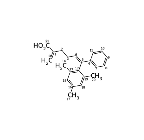 C=C(CCC=C(c1ccccc1)c1c(C)cc(C)cc1C)C(=O)O